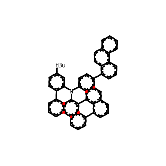 CC(C)(C)c1ccc(-c2ccccc2)c(N(c2ccc(-c3cccc4c3ccc3ccccc34)cc2)c2ccccc2-c2cccc3cccc(-c4ccccc4)c23)c1